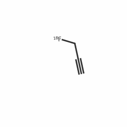 C#CC[18F]